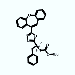 CC(C)(C)OC(=O)N[C@@](C)(Cc1ccccc1)c1nnc(C2=Cc3ccccc3Oc3ccccc32)o1